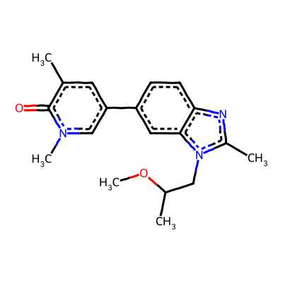 COC(C)Cn1c(C)nc2ccc(-c3cc(C)c(=O)n(C)c3)cc21